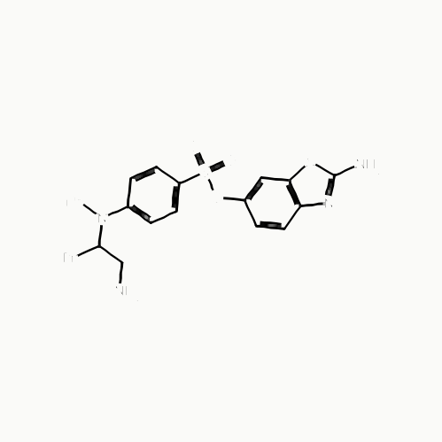 CC(C)C(CN)N(c1ccc(S(=O)(=O)Oc2ccc3nc(N)sc3c2)cc1)C(C)C